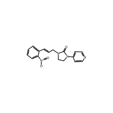 O=C1N(C/C=C/c2ccccc2[N+](=O)[O-])CCN1c1ccncc1